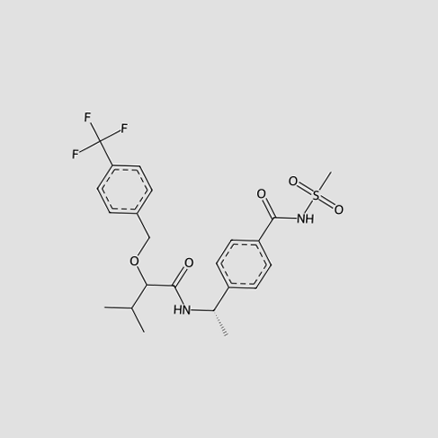 CC(C)C(OCc1ccc(C(F)(F)F)cc1)C(=O)N[C@@H](C)c1ccc(C(=O)NS(C)(=O)=O)cc1